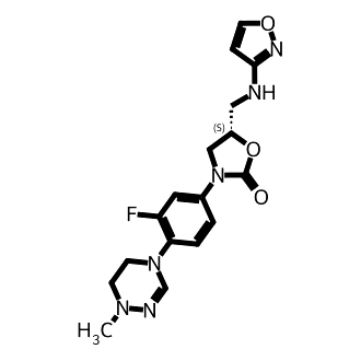 CN1CCN(c2ccc(N3C[C@H](CNc4ccon4)OC3=O)cc2F)C=N1